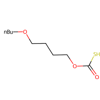 CCCCOCCCCOC(=O)S